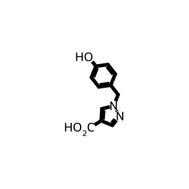 O=C(O)c1cnn(Cc2ccc(O)cc2)c1